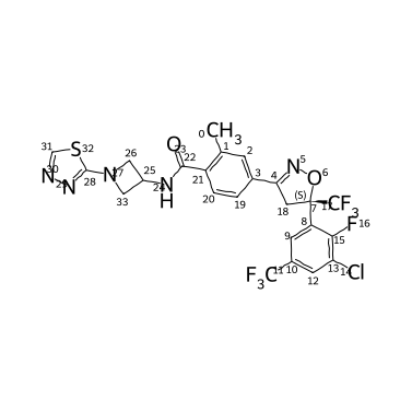 Cc1cc(C2=NO[C@@](c3cc(C(F)(F)F)cc(Cl)c3F)(C(F)(F)F)C2)ccc1C(=O)NC1CN(c2nncs2)C1